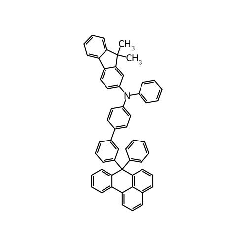 CC1(C)c2ccccc2-c2ccc(N(c3ccccc3)c3ccc(-c4cccc(C5(c6ccccc6)c6ccccc6-c6cccc7cccc5c67)c4)cc3)cc21